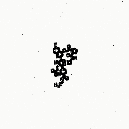 CCOC(=O)N1CCN(C(=O)C(CCC(=O)O)NC(=O)c2cc(OCC(=O)N3CCCC3C(=O)NC3CCC3)c3cc(F)ccc3n2)CC1